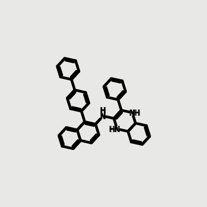 C1=CC2NC(Nc3ccc4ccccc4c3-c3ccc(-c4ccccc4)cc3)=C(c3ccccc3)NC2C=C1